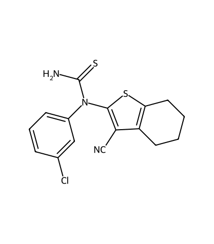 N#Cc1c(N(C(N)=S)c2cccc(Cl)c2)sc2c1CCCC2